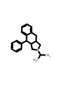 CC(C)N1CC2Cc3ccccc3C(c3ccccc3)C2C1